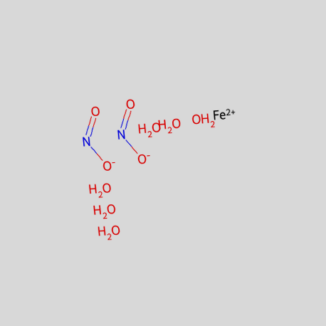 O.O.O.O.O.O.O=N[O-].O=N[O-].[Fe+2]